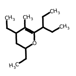 CCC1CC(CC)C(C)=C(C(CC)CC)O1